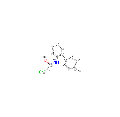 Cc1ccc(-c2ccccc2NC(=O)CCl)cc1